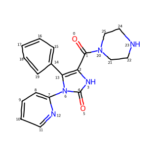 O=C(c1[nH]c(=O)n(-c2ccccn2)c1-c1ccccc1)N1CCNCC1